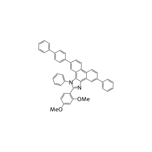 COc1ccc(-c2nc3c4cc(-c5ccccc5)ccc4c4ccc(-c5ccc(-c6ccccc6)cc5)cc4c3n2-c2ccccc2)c(OC)c1